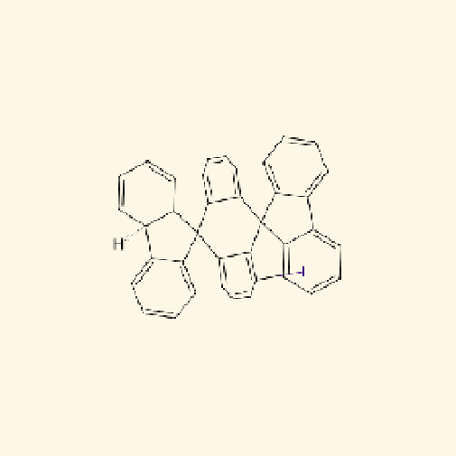 Ic1cccc2c1C1(c3ccccc3-c3ccccc31)c1ccccc1C21c2ccccc2[C@H]2C=CC=CC21